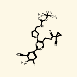 C#Cc1cc(-c2ncc(CNC(=O)C3(C#N)CC3)c(N3CCC(CNC(=O)OC(C)(C)C)C3)n2)cc(F)c1C